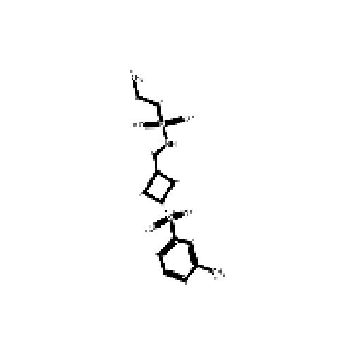 Cc1cccc(S(=O)(=O)[C@H]2C[C@H](CNS(=O)(=O)CCC(F)(F)F)C2)c1